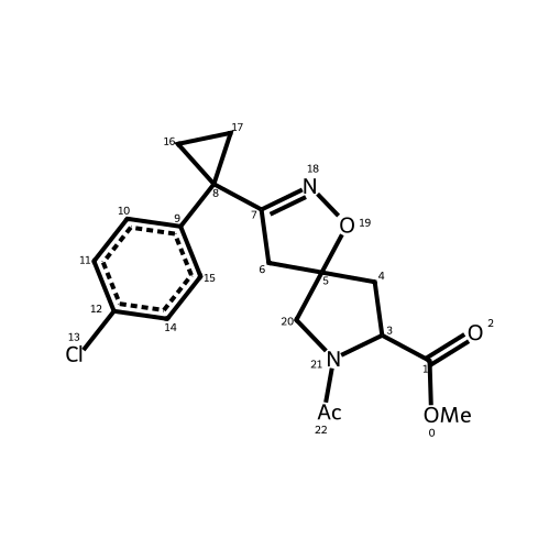 COC(=O)C1CC2(CC(C3(c4ccc(Cl)cc4)CC3)=NO2)CN1C(C)=O